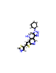 CC(C)Nc1c(-c2cn(C3CCCCC3)nn2)cnc2sc(-c3cncs3)cc12